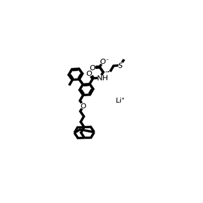 CSCC[C@H](NC(=O)c1ccc(COCCCC23CC4CC(CC(C4)C2)C3)cc1-c1ccccc1C)C(=O)[O-].[Li+]